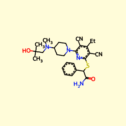 CCc1c(C#N)c(SC(C(N)=O)c2ccccc2)nc(N2CCC(N(C)CC(C)(C)O)CC2)c1C#N